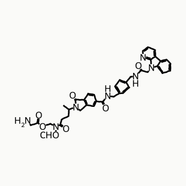 CC(CCC(=O)N(C=O)COC(=O)CN)N1Cc2cc(C(=O)NCc3ccc(CNC(=O)Cn4c5ccccc5c5cccnc54)cc3)ccc2C1=O